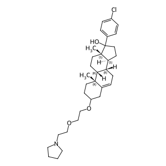 C[C@]12CCC(OCCOCCN3CCCC3)CC1=CC[C@@H]1[C@H]2CC[C@@]2(C)[C@H]1CCC2(O)c1ccc(Cl)cc1